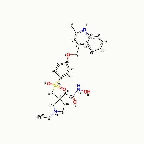 Cc1cc(COc2ccc(S(=O)(=O)CC3(CC(=O)NO)CCN(CC(C)C)C3)cc2)c2ccccc2n1